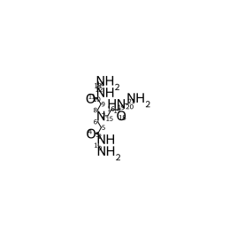 NCNC(=O)CCN(CCC(=O)NCN)CCC(=O)NCN